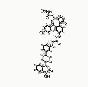 CCNC(=O)C[C@@H]1N=C(c2ccc(Cl)cc2)c2cc(OCC(=O)NCc3cccc(C4CCN(C(=O)c5ccccc5B(O)O)CC4)c3)ccc2-n2c(C)nnc21